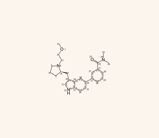 COCCN1CCC[C@@H]1Cc1c[nH]c2ccc(-c3cccc(C(=O)N(C)C)c3)cc12